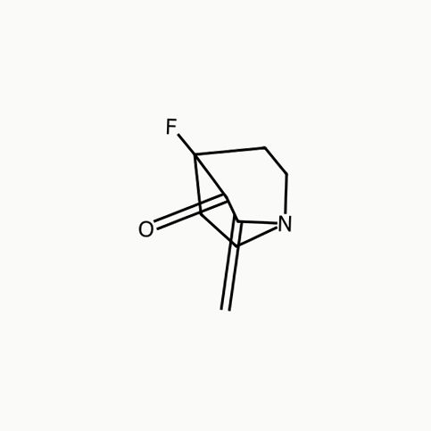 C=C1C(=O)C2(F)CCN1CC2